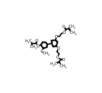 C=C(C)C(=O)OCCOc1cc(OCCOC(=O)C(=C)C)cc(-c2ccc(OC(=O)C(=C)C)c(SC)c2)c1